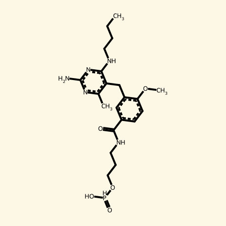 CCCCNc1nc(N)nc(C)c1Cc1cc(C(=O)NCCCO[PH](=O)O)ccc1OC